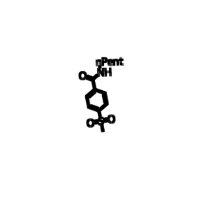 [CH2]CCCCNC(=O)c1ccc(S(C)(=O)=O)cc1